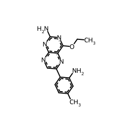 CCOc1nc(N)nc2ncc(-c3ccc(C)cc3N)nc12